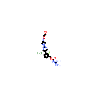 Cl.N=C(N)NC(=O)OCc1cccc(-c2cnc(N3CC(=NOCCO)C3)nc2)c1F